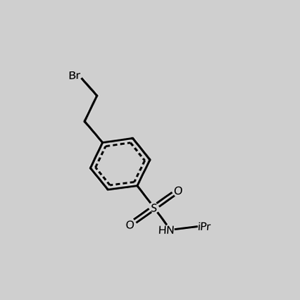 CC(C)NS(=O)(=O)c1ccc(CCBr)cc1